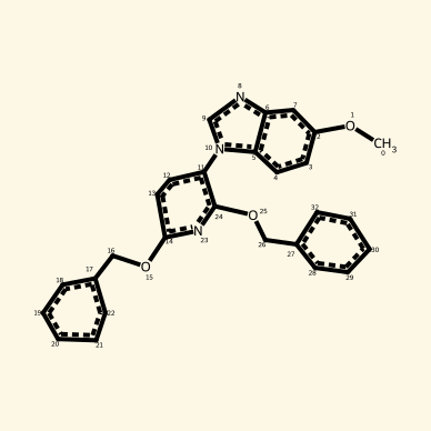 COc1ccc2c(c1)ncn2-c1ccc(OCc2ccccc2)nc1OCc1ccccc1